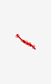 C=C(C)C(=O)OCCCCCCCCOc1ccc2cc(C(=O)Oc3ccc(C(=O)Oc4ccc(/C=C/C(=O)OCCCC)cc4C)cc3)ccc2c1